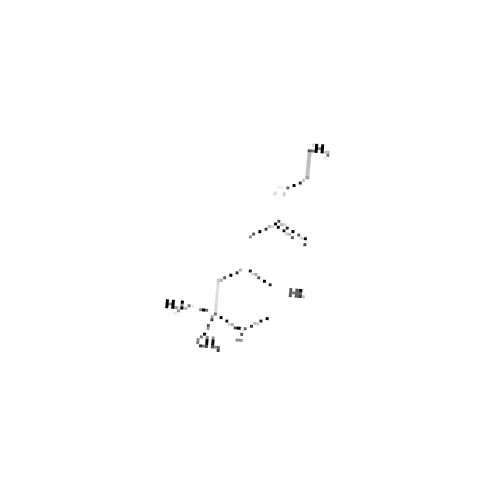 CCOC(=O)CC1CCNC(C)(C)C1.Cl